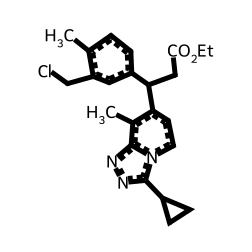 CCOC(=O)CC(c1ccc(C)c(CCl)c1)c1ccn2c(C3CC3)nnc2c1C